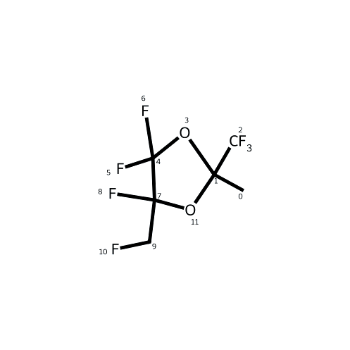 CC1(C(F)(F)F)OC(F)(F)C(F)(CF)O1